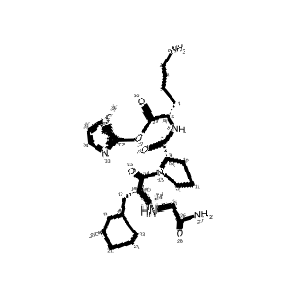 NCCCC[C@H](NC(=O)[C@@H]1CCCN1C(=O)[C@@H](CC1CCCCC1)NCC(N)=O)C(=O)Oc1nccs1